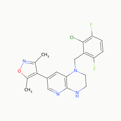 Cc1noc(C)c1-c1cnc2c(c1)N(Cc1c(F)ccc(F)c1Cl)CCN2